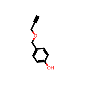 C#CCOCc1ccc(O)cc1